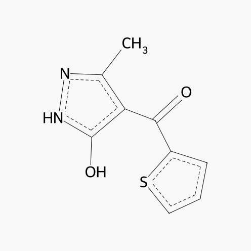 Cc1n[nH]c(O)c1C(=O)c1cccs1